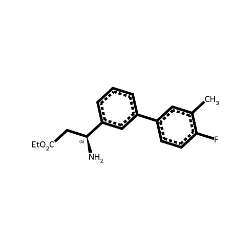 CCOC(=O)C[C@H](N)c1cccc(-c2ccc(F)c(C)c2)c1